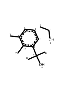 CCO.Cc1cccc(C(C)(C)O)c1C